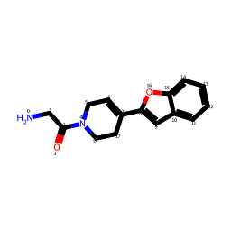 NCC(=O)N1CC=C(c2cc3ccccc3o2)CC1